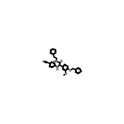 COc1cc(C(Nc2ccc(C#N)cc2)C(=O)NCCc2ccccc2)ccc1OCc1ccccc1